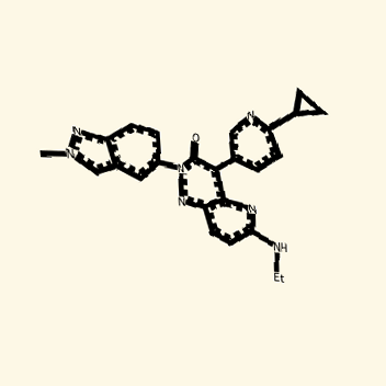 CCNc1ccc2nn(-c3ccc4nn(C)cc4c3)c(=O)c(-c3ccc(C4CC4)nc3)c2n1